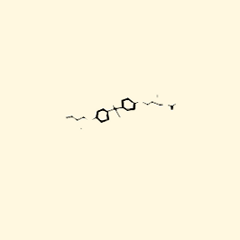 CC(=O)OC[C@@H](O)COc1ccc(C(C)(C)c2ccc(OC[C@@H](O)CCl)cc2)cc1